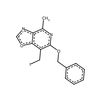 Cc1nc(OCc2ccccc2)c(CI)c2ocnc12